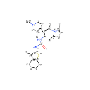 CCN1CCC(/C(CNC(=O)Nc2sc3c(c2C)CCCC3)=C(\C)n2c(C)ccc2C)=C(C)C1